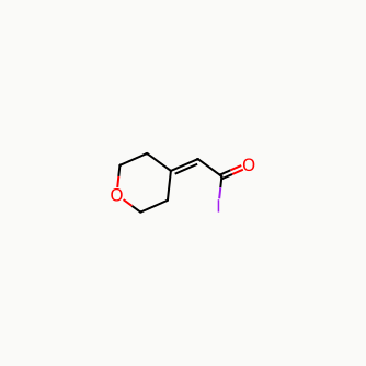 O=C(I)C=C1CCOCC1